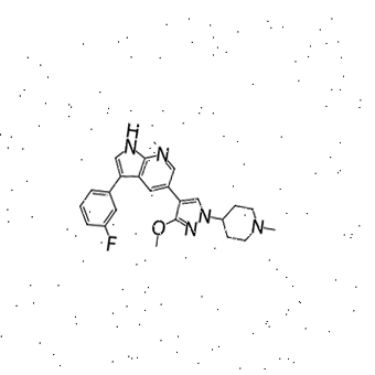 COc1nn(C2CCN(C)CC2)cc1-c1cnc2[nH]cc(-c3cccc(F)c3)c2c1